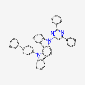 c1ccc(-c2ccc(-n3c4ccccc4c4ccc5c(c6ccccc6n5-c5cc(-c6ccccc6)nc(-c6ccccc6)n5)c43)cc2)cc1